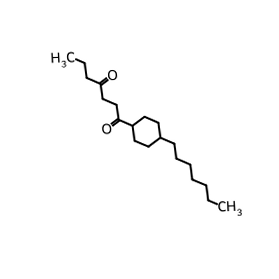 CCCCCCCC1CCC(C(=O)CCC(=O)CCC)CC1